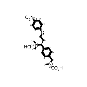 CN(Cc1ccc([C@H](CCOc2ccc([N+](=O)[O-])cc2)N(C)C)cc1)C(=O)O.Cl